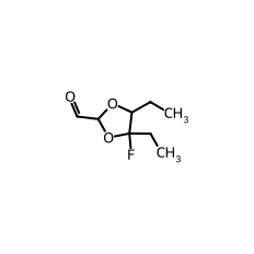 CCC1OC(C=O)OC1(F)CC